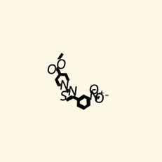 CCOC(=O)C1CCN(c2nc(-c3cccc([N+](=O)[O-])c3)cs2)CC1